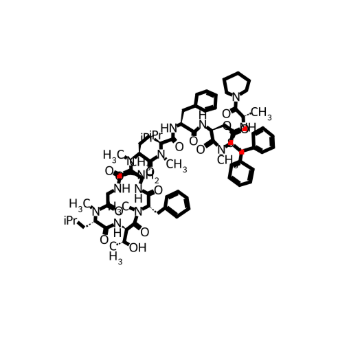 CC(C)C[C@@H](C(=O)N[C@H](C(=O)N(C)[C@@H](Cc1ccccc1)C(=O)NCC(=O)N(C)[C@@H](CC(C)C)C(=O)N(C)[C@H](C(=O)N[C@@H](CC1C=CC=CC1)C(=O)N[C@@H](CC(=O)SCc1ccccc1)C(=O)N(C)[C@@H](Cc1ccccc1)C(=O)N[C@@H](C)C(=O)N1CCCCC1)C(C)C)[C@@H](C)O)N(C)C(=O)CNC(=O)[C@H](C)N